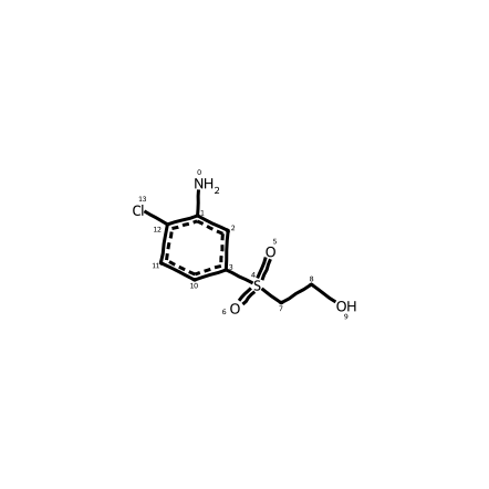 Nc1cc(S(=O)(=O)CCO)ccc1Cl